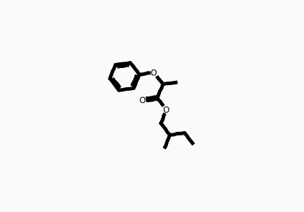 CCC(C)COC(=O)C(C)Oc1ccccc1